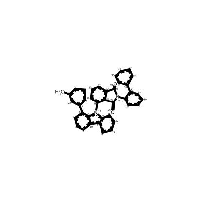 Cc1cccc(-c2cccc3c4ccccc4n(-c4cccc5c4C(=O)N(c4ccccc4-c4ccccc4)C5=O)c23)c1